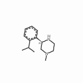 CC(C)c1ccccc1[C@@H]1CN(C)CCN1